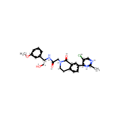 COc1cccc([C@@H](CO)NC(=O)CN2CCc3ccc(-c4nc(C)ncc4Cl)cc3C2=O)c1